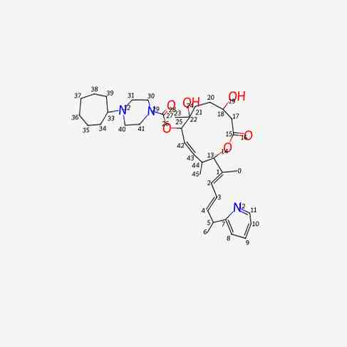 CC(=CC=CC(C)c1ccccn1)C1OC(=O)CC(O)CCC(C)(O)C(OC(=O)N2CCN(C3CCCCCC3)CC2)C=CC1C